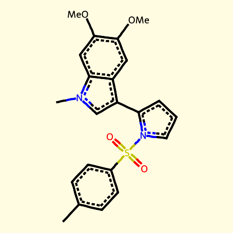 COc1cc2c(-c3cccn3S(=O)(=O)c3ccc(C)cc3)cn(C)c2cc1OC